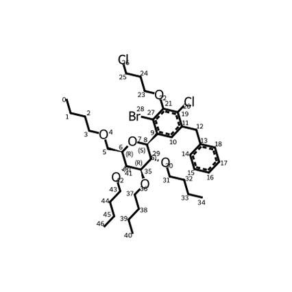 CCCCOC[C@H]1O[C@@H](c2cc(Cc3ccccc3)c(Cl)c(OCCCCl)c2Br)[C@H](OCCCC)[C@@H](OCCCC)[C@@H]1OCCCC